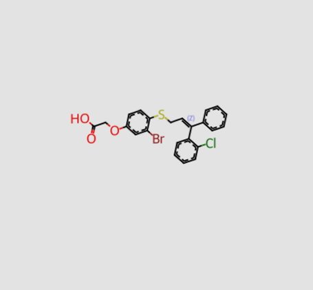 O=C(O)COc1ccc(SC/C=C(/c2ccccc2)c2ccccc2Cl)c(Br)c1